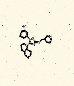 Cl.c1ccc(-n2s/c(=N\Cc3cccnc3)nc2-c2cccc3ccccc23)cc1